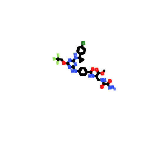 COC(=O)C(CNC(=O)C(N)=O)NC(=O)c1ccc(Nc2nc(NC3(c4ccc(Cl)cc4)CC3)nc(OCC(F)(F)F)n2)cc1